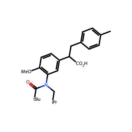 COc1ccc(C(Cc2ccc(C)cc2)C(=O)O)cc1N(CC(C)C)C(=O)C(C)(C)C